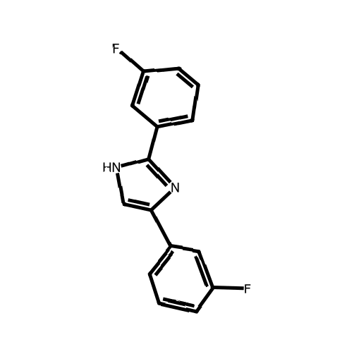 Fc1cccc(-c2c[nH]c(-c3cccc(F)c3)n2)c1